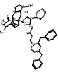 CC(C)C1=CC2CC3[C@@H]4CC[C@@H](C)[C@H]4CC2([C@H]2C[C@@H](C4CCCCC4)[C@H](CNCCN4CCN(Cc5ccccc5)CC4Cc4ccccc4)O2)[C@]13C(=O)O